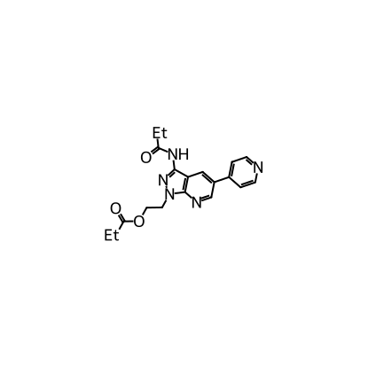 CCC(=O)Nc1nn(CCOC(=O)CC)c2ncc(-c3ccncc3)cc12